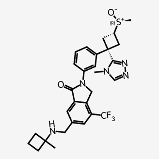 Cn1cnnc1[C@]1(c2cccc(N3Cc4c(cc(CNC5(C)CCC5)cc4C(F)(F)F)C3=O)c2)C[C@H]([S@+](C)[O-])C1